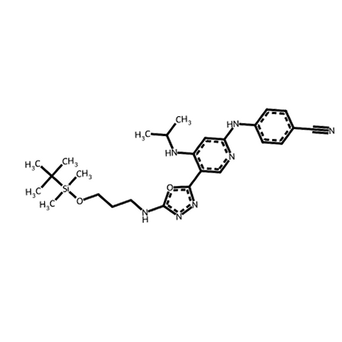 CC(C)Nc1cc(Nc2ccc(C#N)cc2)ncc1-c1nnc(NCCCO[Si](C)(C)C(C)(C)C)o1